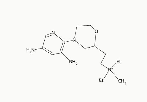 CC[N+](C)(CC)CCC1CN(c2ncc(N)cc2N)CCO1